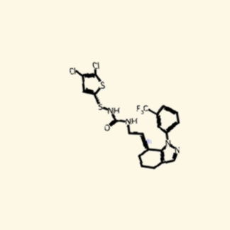 O=C(NC/C=C1\CCCc2cnn(-c3cccc(C(F)(F)F)c3)c21)NSc1cc(Cl)c(Cl)s1